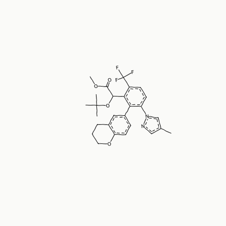 COC(=O)C(OC(C)(C)C)c1c(C(F)(F)F)ccc(-n2cc(C)cn2)c1-c1ccc2c(c1)CCCO2